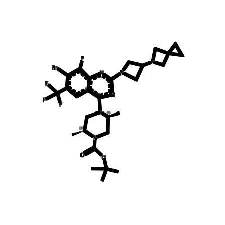 C[C@@H]1CN(c2nc(N3CC(N4CC5(CC5)C4)C3)nc3c(F)c(Br)c(C(F)(F)F)cc23)[C@@H](C)CN1C(=O)OC(C)(C)C